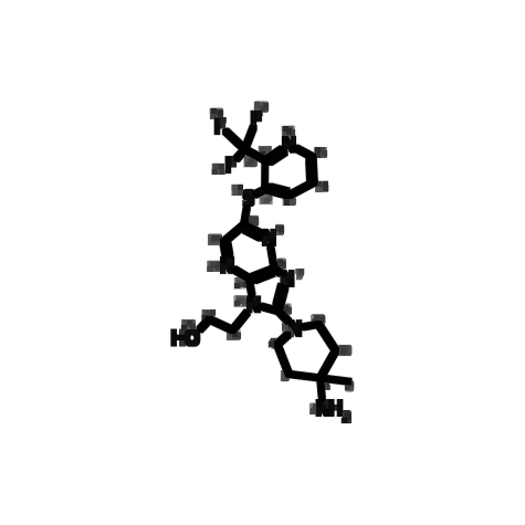 CC1(N)CCN(c2nc3nc(Sc4cccnc4C(F)(F)F)cnc3n2CCO)CC1